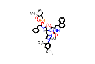 COC(=O)C(CC(C)C)C[PH](=O)OC(CC1CCCCC1)NC(=O)[C@H](Cc1cn(-c2ccc([N+](=O)[O-])cc2[N+](=O)[O-])cn1)NC(=O)C(Cc1cccc2ccccc12)NC(=O)OC(C)(C)C